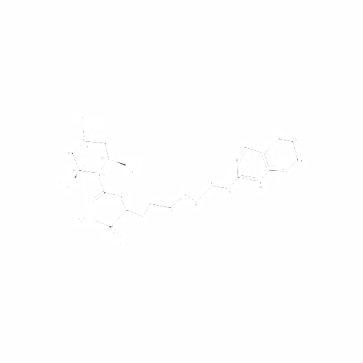 COC(=O)C(CCCCCCCc1ccc2c(n1)NCCC2)NC(=O)N1[C@H](C)CN(C(=O)O)C[C@@H]1C